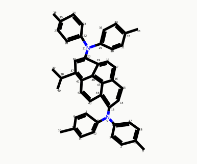 Cc1ccc(N(c2ccc(C)cc2)c2ccc3ccc4c(N(c5ccc(C)cc5)c5ccc(C)cc5)cc(C(C)C)c5ccc2c3c54)cc1